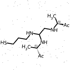 CC(=O)[C@H](C)NCC(NCCCS)N[C@@H](C)C(C)=O